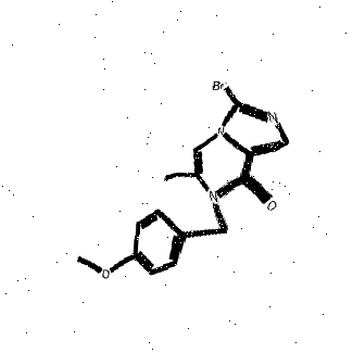 COc1ccc(Cn2c(C)cn3c(Br)ncc3c2=O)cc1